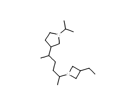 CCC1CN(C(C)CCC(C)C2CCN(C(C)C)C2)C1